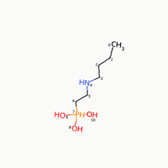 CCCCNCC[PH](O)(O)O